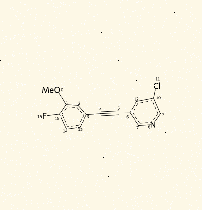 COc1cc(C#Cc2cncc(Cl)c2)ccc1F